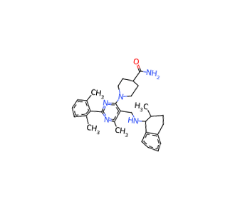 Cc1cccc(C)c1-c1nc(C)c(CNC2c3ccccc3CCC2C)c(N2CCC(C(N)=O)CC2)n1